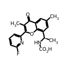 Cc1cc([C@@H](C)NC(=O)O)c2oc(-c3cccc(F)n3)c(C)c(=O)c2c1